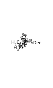 C=CC[N+]1(C)CCCC1.CCCCCCCCCCCCOS(=O)(=O)c1ccccc1